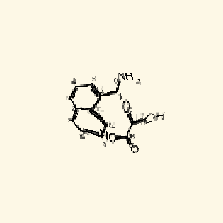 NCc1cccc2ccccc12.O=C(O)C(=O)O